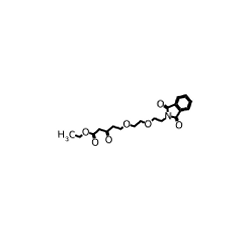 CCOC(=O)CC(=O)CCOCCOCCN1C(=O)c2ccccc2C1=O